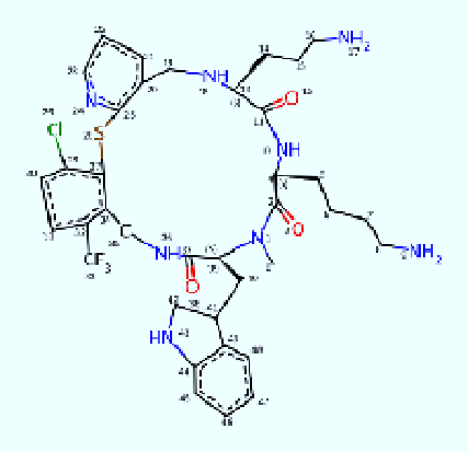 CN1C(=O)[C@H](CCCCN)NC(=O)[C@H](CCCN)NCc2cccnc2Sc2c(Cl)ccc(C(F)(F)F)c2CNC(=O)[C@@H]1CC1CNc2ccccc21